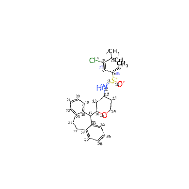 C=C(C)/C(Cl)=C\C(=C/C)[S+]([O-])NC1CCOC(C2c3ccccc3CCc3ccccc32)C1